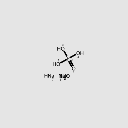 O.O=P(O)(O)O.[NaH].[NaH]